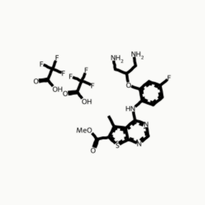 COC(=O)c1sc2ncnc(Nc3ccc(F)cc3OC(CN)CN)c2c1C.O=C(O)C(F)(F)F.O=C(O)C(F)(F)F